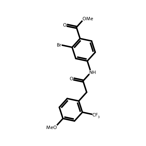 COC(=O)c1ccc(NC(=O)Cc2ccc(OC)cc2C(F)(F)F)cc1Br